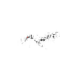 CC(=O)NC(CCCNC1CC[C@@]2(C)C(CC[C@]3(C)[C@@H]2CC[C@@H]2C4[C@H](C(C)C)CC[C@]4(C(=O)O[C@H]4CC[C@@]5(C)C(=CC[C@H]6[C@@H]7CC[C@H]([C@H](C)CCCC(C)C)[C@@]7(C)CC[C@@H]65)C4)CC[C@]23C)C1(C)C)C(=O)O